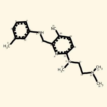 Cc1cccc(NCc2nc(N(C)CCN(C)C)ccc2C#N)c1